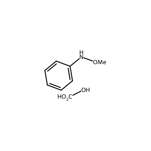 CONc1ccccc1.O=C(O)O